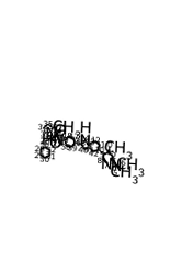 Cc1cc(N(C)C)ncc1-c1ccc2[nH]c(-c3ccc(NC(=O)[N+]4(C(=O)Cc5ccccc5)CCC[C@H]4C)cc3)cc2c1